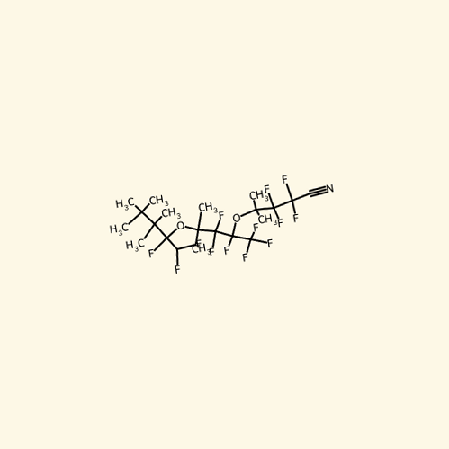 CC(C)(C)C(C)(C)C(F)(OC(C)(C)C(F)(F)C(F)(OC(C)(C)C(F)(F)C(F)(F)C#N)C(F)(F)F)C(F)F